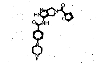 CN1CCN(c2ccc(C(=O)Nc3[nH]nc4c3CN(C(=O)c3ccco3)C4)cc2)CC1